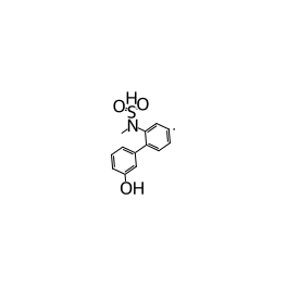 CN(c1c[c]ccc1-c1cccc(O)c1)[SH](=O)=O